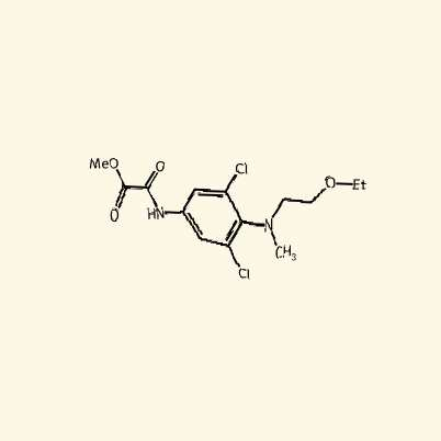 CCOCCN(C)c1c(Cl)cc(NC(=O)C(=O)OC)cc1Cl